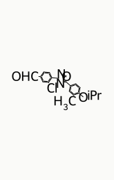 Cc1cc(-c2nc(-c3ccc(C=O)cc3Cl)no2)ccc1OC(C)C